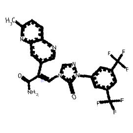 Cc1ccc2ncc(/C(=C\n3cnn(-c4cc(C(F)(F)F)cc(C(F)(F)F)c4)c3=O)C(N)=O)cc2n1